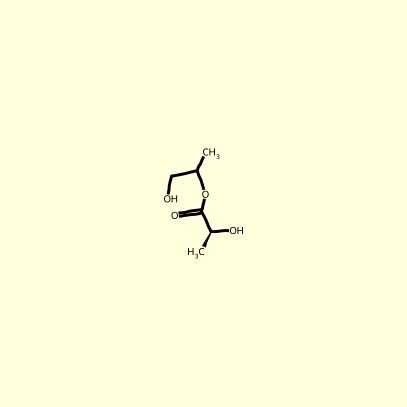 CC(CO)OC(=O)[C@H](C)O